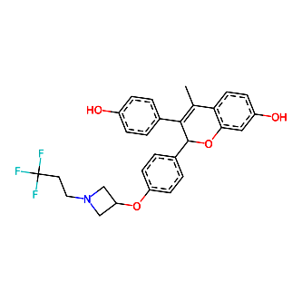 CC1=C(c2ccc(O)cc2)C(c2ccc(OC3CN(CCC(F)(F)F)C3)cc2)Oc2cc(O)ccc21